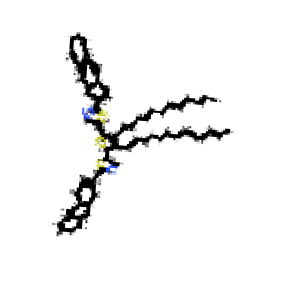 CCCCCCCCCCCCc1c(-c2cnc(-c3ccc4cc5ccccc5cc4c3)s2)sc(-c2cnc(-c3ccc4cc5ccccc5cc4c3)s2)c1CCCCCCCCCCCC